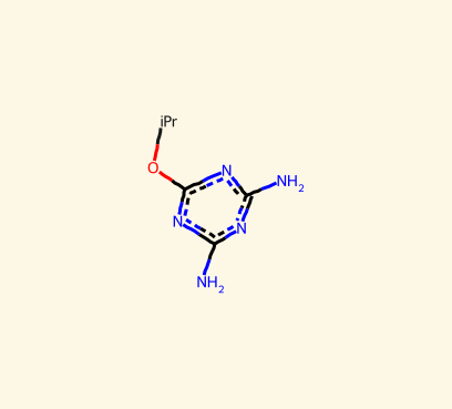 CC(C)Oc1nc(N)nc(N)n1